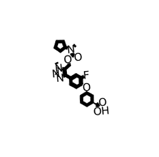 CN(C(=O)OCc1c(-c2ccc(O[C@H]3CCC[C@H](C(=O)O)C3)c(F)c2)nnn1C)C1CCCC1